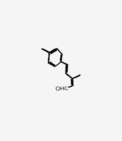 CC(=C/C=O)/C=C/c1ccc(C)cc1